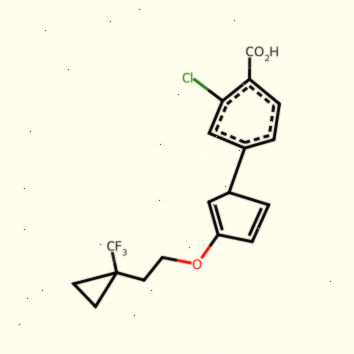 O=C(O)c1ccc(C2C=CC(OCCC3(C(F)(F)F)CC3)=C2)cc1Cl